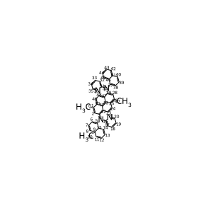 Cc1cc(N(C2=CC=CC3(C)C=CC=CC23)c2ccccn2)c2ccc3c(C)cc(N(c4ccccn4)c4cccc5ccccc45)c4ccc1c2c34